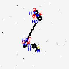 Cc1ncsc1-c1ccc(CNC(=O)[C@@H]2CCCN2C(=O)CNC(=O)CCCCCCCCCCNc2cccc3c2C(=O)N(C2CCC(=O)NC2=O)C3=O)cc1